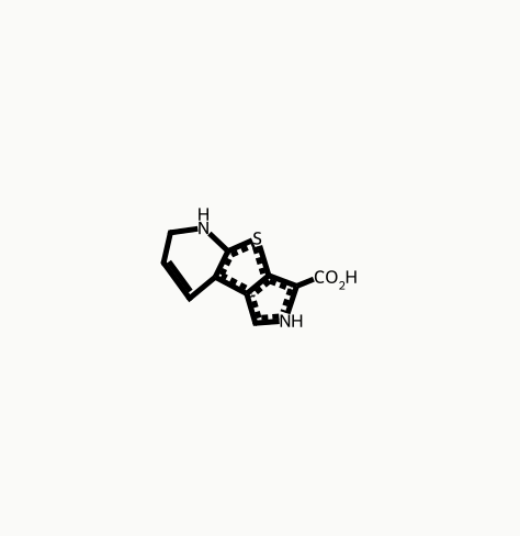 O=C(O)c1[nH]cc2c3c(sc12)NCC=C3